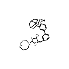 O=C1N=C(N2CCCCCCC2)SC1=Cc1cccc(-c2ccc(O)c(C34CC5CC(CC(C5)C3)C4)c2)c1